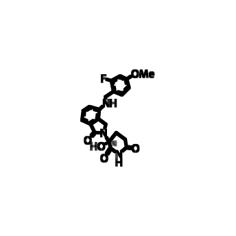 COc1ccc(CNc2cccc3c2CN([C@]2(O)CCC(=O)NC2=O)C3=O)c(F)c1